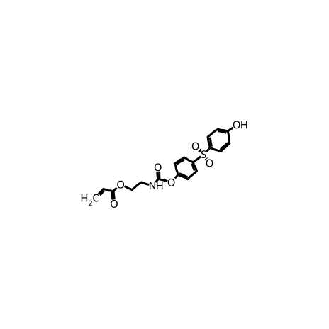 C=CC(=O)OCCNC(=O)Oc1ccc(S(=O)(=O)c2ccc(O)cc2)cc1